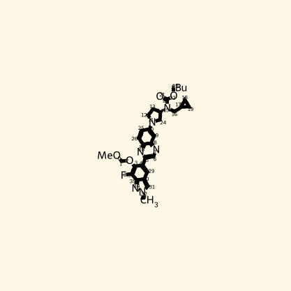 COCOc1c(-c2cnc3cc(N4CC[C@@H](N(CC5CC5)C(=O)OC(C)(C)C)C4)ccc3n2)cc2cn(C)nc2c1F